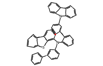 c1ccc(-c2cccc(N(c3ccccc3-c3cccc(-n4c5ccccc5c5ccccc54)c3)c3cccc4c3sc3ccccc34)c2)cc1